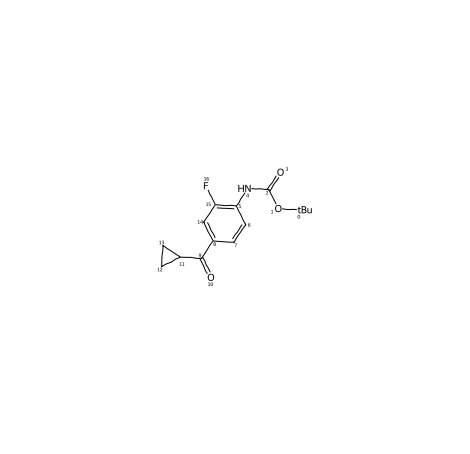 CC(C)(C)OC(=O)Nc1ccc(C(=O)C2CC2)cc1F